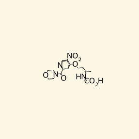 CC(CCOc1cc(C(=O)N2CCOCC2)ncc1[N+](=O)[O-])NC(=O)O